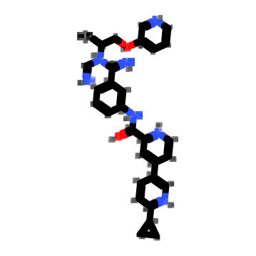 CC(COc1cccnc1)N(C=N)C(=N)c1cccc(NC(=O)c2cc(-c3ccc(C4CC4)nc3)ccn2)c1